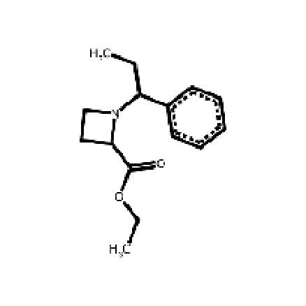 CCOC(=O)C1CCN1C(CC)c1ccccc1